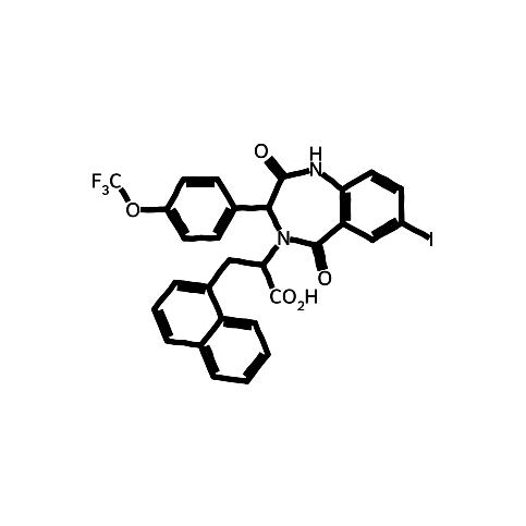 O=C(O)C(Cc1cccc2ccccc12)N1C(=O)c2cc(I)ccc2NC(=O)C1c1ccc(OC(F)(F)F)cc1